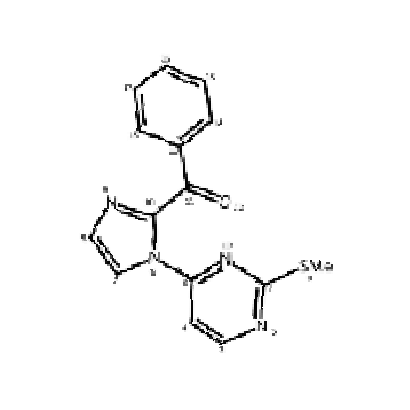 CSc1nccc(-n2ccnc2C(=O)c2ccccc2)n1